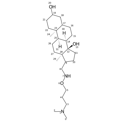 CN(C)CCCONCC1CC[C@@]2(O)[C@@H]3CCC4CC(O)CC[C@]4(C)[C@@H]3CC[C@]12C